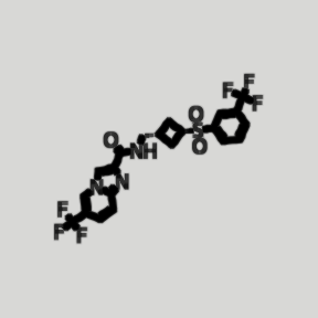 O=C(NC[C@H]1C[C@H](S(=O)(=O)c2cccc(C(F)(F)F)c2)C1)c1cn2cc(C(F)(F)F)ccc2n1